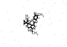 CNc1ncc(-c2nc3cc(Br)c(C)cc3o2)c2cc(C3(C(N)=O)CC3)ncc12